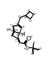 CC(C)(C)OC(=O)/C=C1/C[C@H]2CC(CC3CCC3)=C[C@@H]12